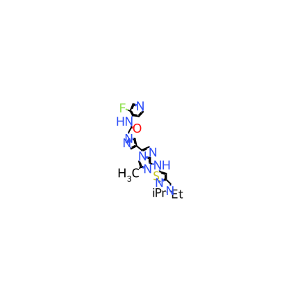 CCN(Cc1cc(Nc2nc(C)cn3c(-c4cnn(CC(=O)Nc5ccncc5F)c4)cnc23)sn1)C(C)C